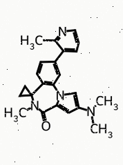 Cc1ncccc1-c1ccc2c(c1)-n1cc(N(C)C)cc1C(=O)N(C)C21CC1